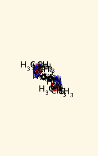 CCCN(Cc1ncc(-c2ccc(-c3ccc(-c4cnc(CN(CCC)C(=O)OC(C)(C)C)[nH]4)cc3)cc2)[nH]1)C(=O)OC(C)(C)C